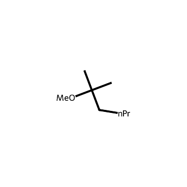 [CH2]CCCC(C)(C)OC